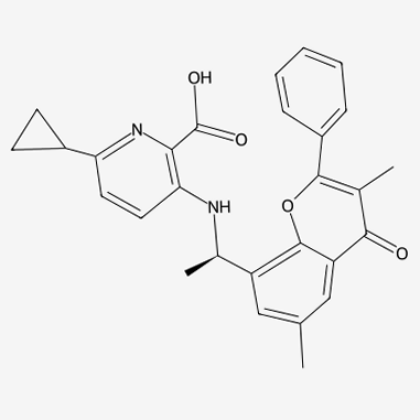 Cc1cc([C@@H](C)Nc2ccc(C3CC3)nc2C(=O)O)c2oc(-c3ccccc3)c(C)c(=O)c2c1